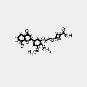 COc1cc(-c2cc(=O)c3cccc(Cl)c3o2)cc(OCCOC2CC(C(=O)O)C2)c1OC